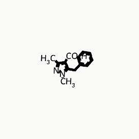 Cc1nn(C)c(Cc2ccccc2)c1C(=O)O